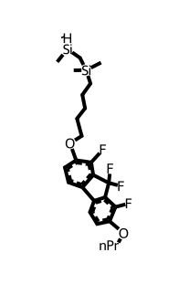 CCCOc1ccc2c(c1F)C(F)(F)c1c-2ccc(OCCCCC[Si](C)(C)C[SiH](C)C)c1F